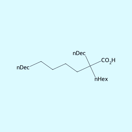 CCCCCCCCCCCCCCC(CCCCCC)(CCCCCCCCCC)C(=O)O